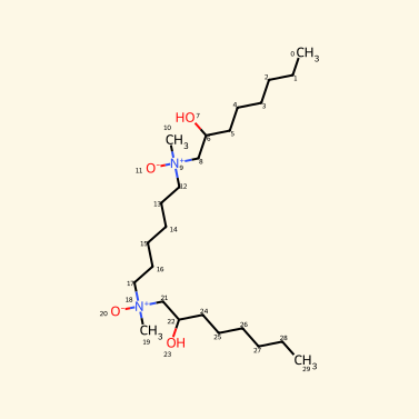 CCCCCCC(O)C[N+](C)([O-])CCCCCC[N+](C)([O-])CC(O)CCCCCC